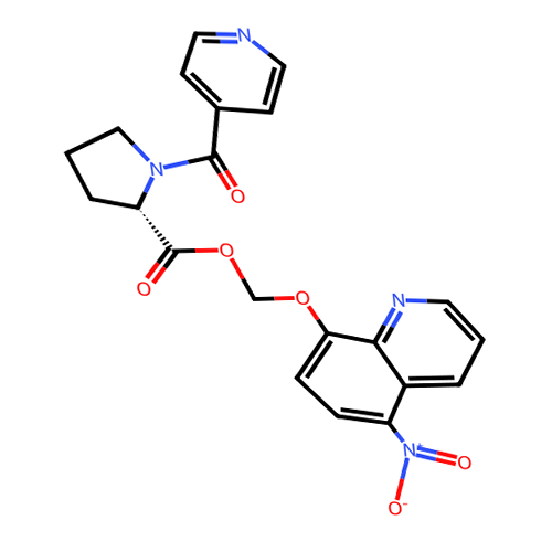 O=C(OCOc1ccc([N+](=O)[O-])c2cccnc12)[C@@H]1CCCN1C(=O)c1ccncc1